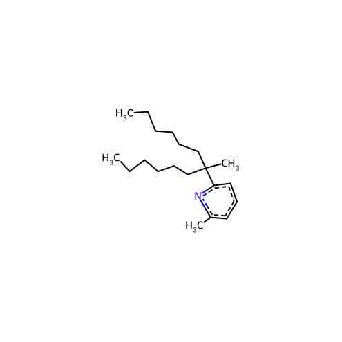 CCCCCCC(C)(CCCCCC)c1cccc(C)n1